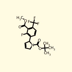 COC(=O)c1c(C(F)(F)F)ccc(C2C=CCN2C(=O)OC(C)(C)C)c1F